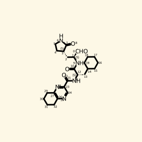 O=C[C@H](C[C@@H]1CCNC1=O)NC(=O)[C@H](CC1CCCCC1)NC(=O)c1cnc2c(n1)CCCC2